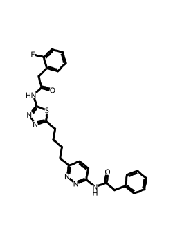 O=C(Cc1ccccc1)Nc1ccc(CCCCc2nnc(NC(=O)Cc3ccccc3F)s2)nn1